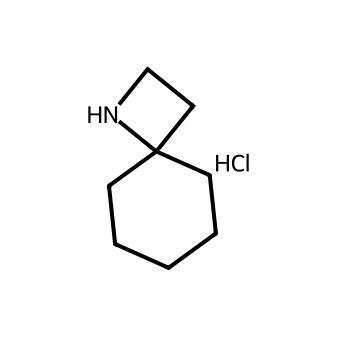 C1CCC2(CC1)CCN2.Cl